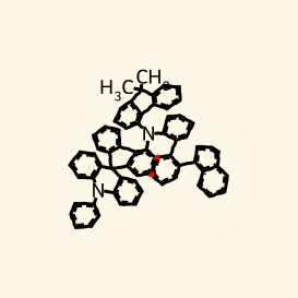 CC1(C)c2ccccc2-c2c(N(c3ccccc3-c3ccccc3-c3cccc4ccccc34)c3cccc4c3-c3ccccc3C43c4ccccc4N(c4ccccc4)c4ccccc43)cccc21